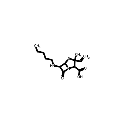 C=CC1(C)SC2C(NCCCCC)C(=O)N2C1C(=O)O